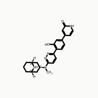 CN(c1ccc(-c2ccc(-c3cc[nH]c(=O)c3)cc2O)nn1)[C@@H]1C[C@H]2CCC[C@@H](C1)N2